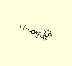 C=CCn1c(SCC(=O)Nc2ccc(CCCC)cc2)nnc1-c1ccco1